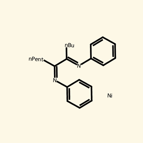 CCCCCC(=Nc1ccccc1)C(CCCC)=Nc1ccccc1.[Ni]